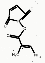 CC(=CN)C(=O)ON1C(=O)C=CC1=O